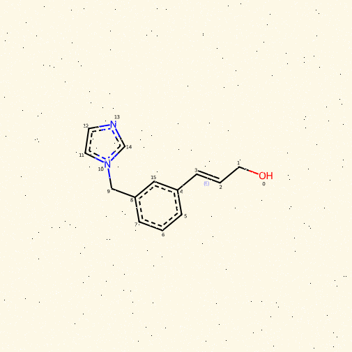 OC/C=C/c1cccc(Cn2ccnc2)c1